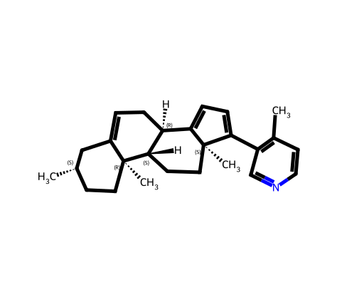 Cc1ccncc1C1=CC=C2[C@@H]3CC=C4C[C@@H](C)CC[C@]4(C)[C@H]3CC[C@]12C